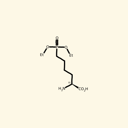 CCOP(=O)(CCCC[C@H](N)C(=O)O)OCC